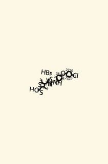 Br.Cc1sc(C(O)=S)c(C)c1-c1csc(Nc2ccc(Oc3ccc(Cl)cc3)cc2)n1